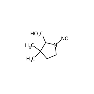 CC1(C)CCN(N=O)C1C(=O)O